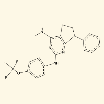 CNc1nc(Nc2ccc(OC(F)(F)F)cc2)nc2c1CCC2c1ccccc1